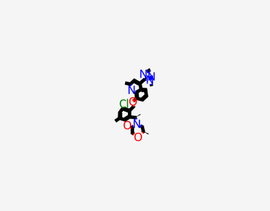 Cc1cc(Cl)c(COc2cccc3c(-c4ncnn4C)cc(C)nc23)c([C@H](C)N2C[C@H](C)OCC2=O)c1